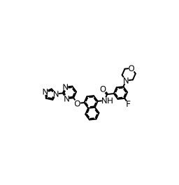 O=C(Nc1ccc(Oc2ccnc(-n3ccnc3)n2)c2ccccc12)c1cc(F)cc(N2CCOCC2)c1